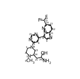 CN1CCN(c2cc(-c3cnc4ccc(C(F)F)nn34)ncn2)CC1CC(N)O